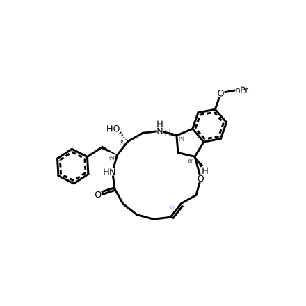 CCCOc1ccc2c(c1)[C@@H]1C[C@H]2OC/C=C/CCCC(=O)N[C@@H](Cc2ccccc2)[C@H](O)CN1